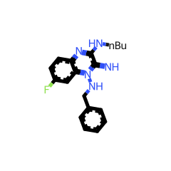 CCCCNc1nc2ccc(F)cc2n(NCc2ccccc2)c1=N